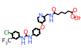 O=C(CCCCC(=O)OO)NCc1cc(Oc2ccc(NC(=O)Nc3ccc(Cl)c(C(F)(F)F)c3)cc2)ccn1